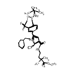 COC(=O)C(C)(C)CCNC(=O)c1cc(-c2ccc([S+]([O-])NC(C)(C)C)c(C(F)(F)F)c2)n(CC2CCCCC2)c1Cl